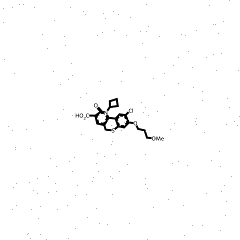 COCCCOc1cc2c(cc1Cl)-c1c(cc(C(=O)O)c(=O)n1C1CCC1)CS2